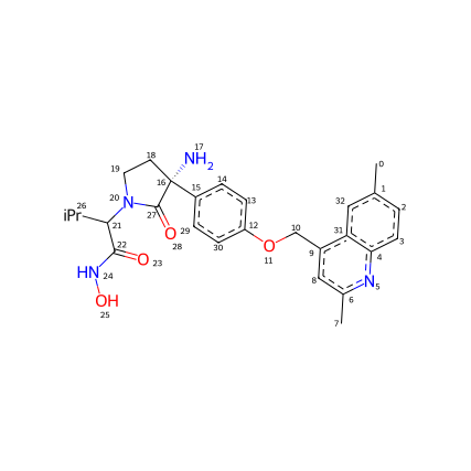 Cc1ccc2nc(C)cc(COc3ccc([C@]4(N)CCN(C(C(=O)NO)C(C)C)C4=O)cc3)c2c1